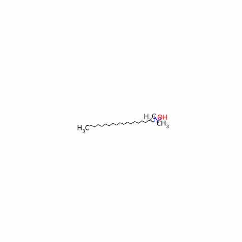 CCCCCCCCCCCCCCCCCCC[N+](C)(C)O